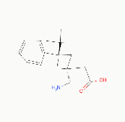 CC(C)(C)[C@]1(c2ccccc2)C[C@](CN)(CC(=O)O)C1